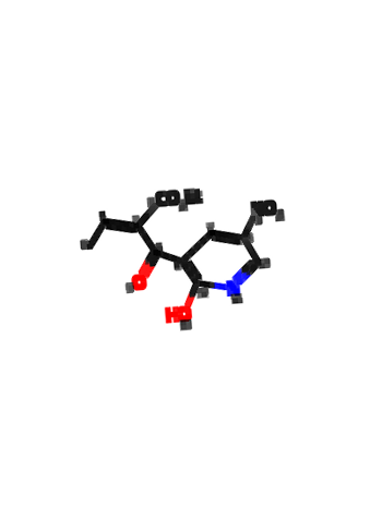 C/C=C(/C(=O)OCC)C(=O)c1cc([N+](=O)[O-])cnc1O